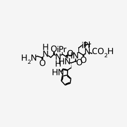 CC(C)C[C@H](NC(=O)[C@H](Cc1c[nH]c2ccccc12)NC(=O)[C@@H](NC(=O)CNC(=O)CN)C(C)C)C(=O)NCC(=O)O